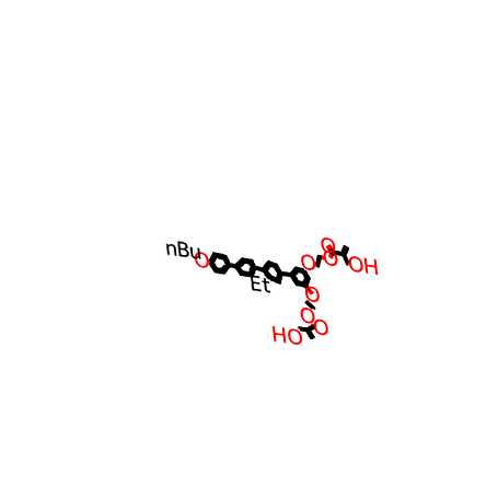 C=C(CO)C(=O)OCCOc1cc(OCCOC(=O)C(=C)CO)cc(-c2ccc(-c3ccc(-c4ccc(OCCCC)cc4)cc3)c(CC)c2)c1